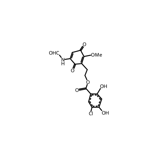 COC1=C(CCOC(=O)c2cc(Cl)c(O)cc2O)C(=O)C(NC=O)=CC1=O